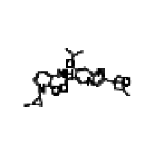 CC(C)Oc1cc2nc(C34COC(C)(C3)C4)cn2cc1C(=O)Nc1cccn(C2C[C@H]2C)c1=O